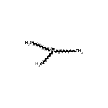 CCCCCCCCCCCCCCn1cc[n+](CCCCCCCCCCCCC)c1CCCCCCCCCC